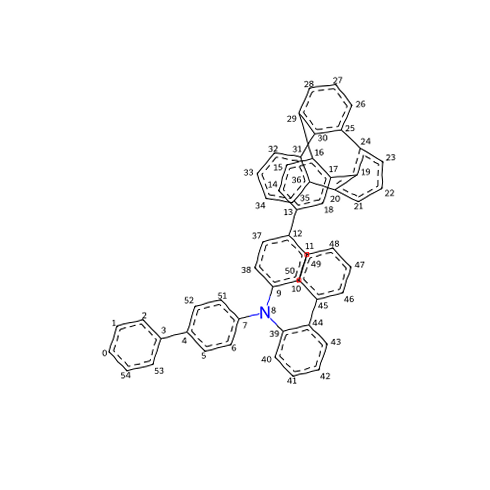 c1ccc(-c2ccc(N(c3ccc(-c4ccc5c(c4)-c4c6cccc4-c4cccc-5c4-c4ccccc4-6)cc3)c3ccccc3-c3ccccc3)cc2)cc1